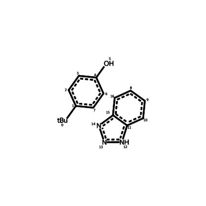 CC(C)(C)c1ccc(O)cc1.c1ccc2[nH]nnc2c1